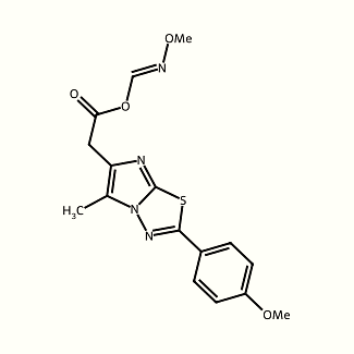 CON=COC(=O)Cc1nc2sc(-c3ccc(OC)cc3)nn2c1C